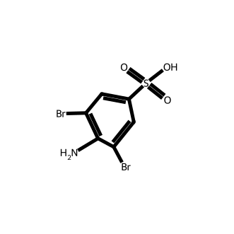 Nc1c(Br)cc(S(=O)(=O)O)cc1Br